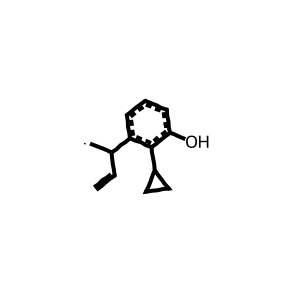 [CH2]C(C=C)c1cccc(O)c1C1CC1